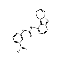 O=C(Nc1cccc([N+](=O)[O-])c1)Nc1ncnc2nn3ccccc3c12